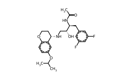 CC(=O)N[C@@H](Cc1cc(F)cc(F)c1)[C@H](O)CN[C@H]1CCOc2ccc(OC(C)C)cc21